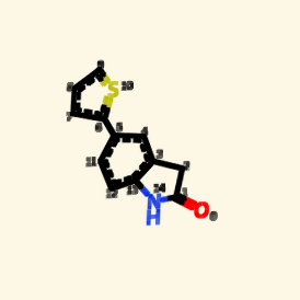 O=C1Cc2cc(-c3cccs3)ccc2N1